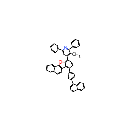 Cc1c(-c2ccc(-c3ccc(-c4cccc5ccccc45)cc3)c3c2oc2c4ccccc4ccc23)cc(-c2ccccc2)nc1-c1ccccc1